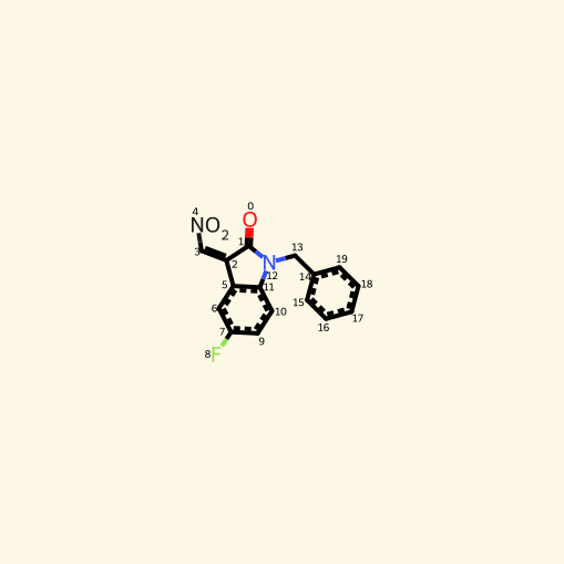 O=C1C(=C[N+](=O)[O-])c2cc(F)ccc2N1Cc1ccccc1